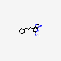 Nc1cc(CCCC2CCCCC2)c2nc[nH]c2n1